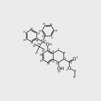 CCOC(=O)C1CCc2c(O[Si](c3ccccc3)(c3ccccc3)C(C)(C)C)cccc2C1O